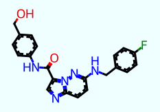 O=C(Nc1ccc(CO)cc1)c1cnc2ccc(NCc3ccc(F)cc3)nn12